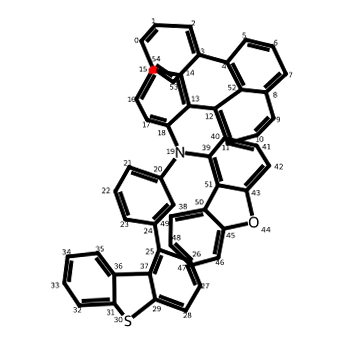 c1ccc(-c2cccc3cccc(-c4ccccc4N(c4cccc(-c5cccc6sc7ccccc7c56)c4)c4cccc5oc6ccccc6c45)c23)cc1